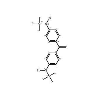 C=C(c1ccc(N(CC)[Si](C)(C)C)cc1)c1ccc(N(CC)[Si](C)(C)C)cc1